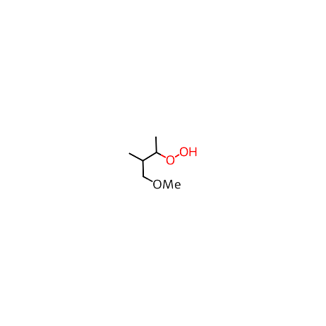 COCC(C)C(C)OO